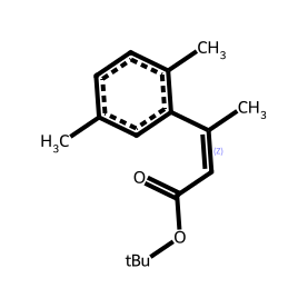 C/C(=C/C(=O)OC(C)(C)C)c1cc(C)ccc1C